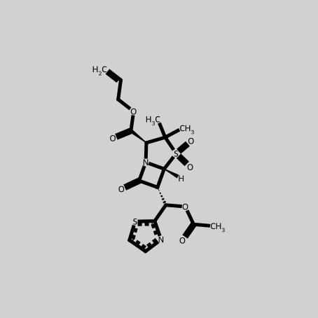 C=CCOC(=O)[C@@H]1N2C(=O)[C@@H](C(OC(C)=O)c3nccs3)[C@H]2S(=O)(=O)C1(C)C